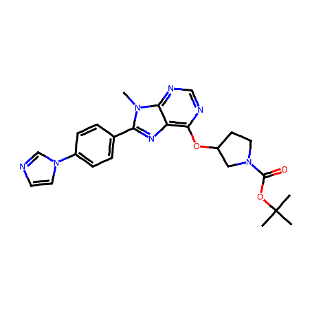 Cn1c(-c2ccc(-n3ccnc3)cc2)nc2c(OC3CCN(C(=O)OC(C)(C)C)C3)ncnc21